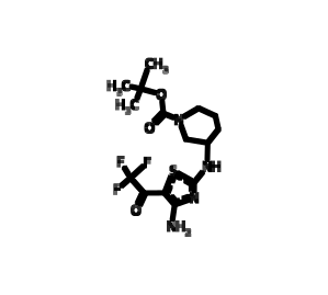 CC(C)(C)OC(=O)N1CCCC(Nc2nc(N)c(C(=O)C(F)(F)F)s2)C1